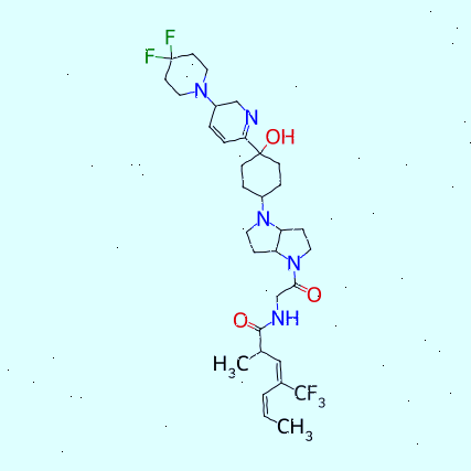 C/C=C\C(=C/C(C)C(=O)NCC(=O)N1CCC2C1CCN2C1CCC(O)(C2=NCC(N3CCC(F)(F)CC3)C=C2)CC1)C(F)(F)F